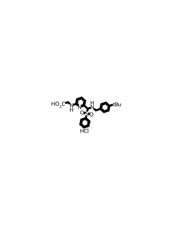 CC(C)(C)c1ccc(CNC(c2cccc(NCC(=O)O)n2)S(=O)(=O)c2ccccc2)cc1.Cl